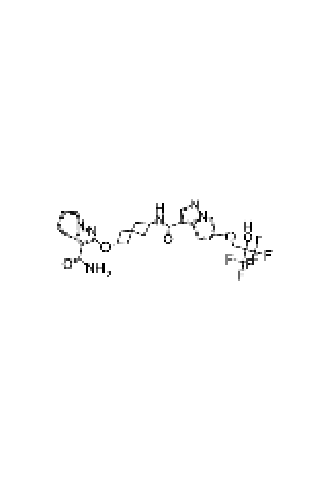 NC(=O)c1c(O[C@H]2CC3(C[C@H](NC(=O)c4cnn5cc(OCC(O)(C(F)(F)F)C(F)(F)F)ccc45)C3)C2)nn2ccccc12